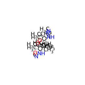 Cn1ccc(Nc2cc(C(C)(C)C)c(OC(=O)Cc3c(C(C)(C)C)cc(Nc4ncco4)cc3C(C)(C)C)c(C(C)(C)C)c2)n1